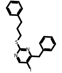 Ic1cnc(SCCCc2ccccc2)nc1Cc1ccccc1